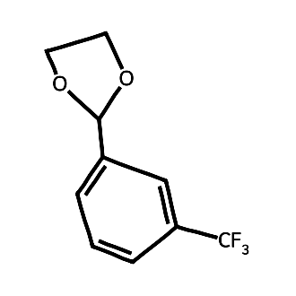 FC(F)(F)c1cccc(C2OCCO2)c1